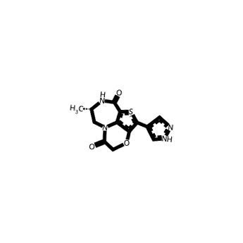 C[C@H]1CN2C(=O)COc3c(-c4cn[nH]c4)sc(c32)C(=O)N1